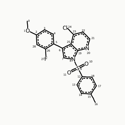 COc1ccc(-c2cn(S(=O)(=O)c3ccc(C)cc3)c3nccc(Cl)c23)c(F)c1